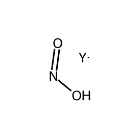 O=NO.[Y]